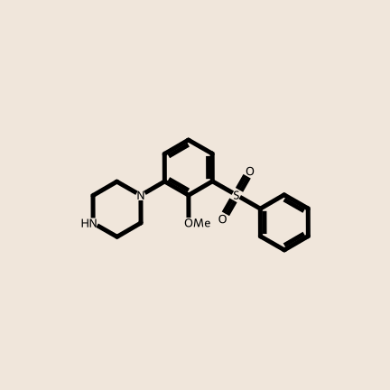 COc1c(N2CCNCC2)cccc1S(=O)(=O)c1ccccc1